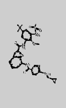 COc1c(NC(=O)c2cc3cccc(NC(=O)c4ccc(NCC5CC5)nc4)c3s2)cc(C(C)(C)C)cc1NS(C)(=O)=O